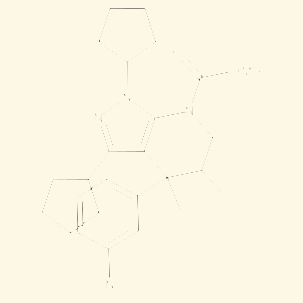 COC(=O)N1CC(C)C(C)(c2cccc([N+](=O)[O-])c2)c2c(C3CCCC3)nn(C3CCCC3)c21